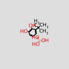 CC(C)(C)c1cccc(O)c1O.OB(O)O